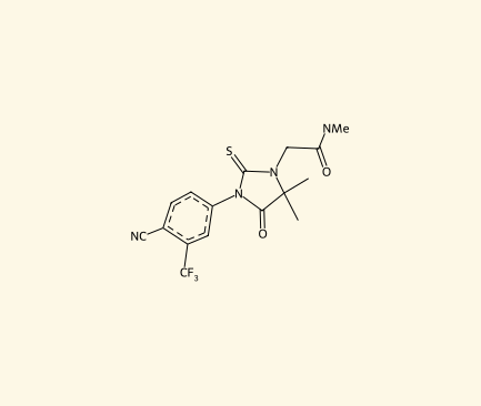 CNC(=O)CN1C(=S)N(c2ccc(C#N)c(C(F)(F)F)c2)C(=O)C1(C)C